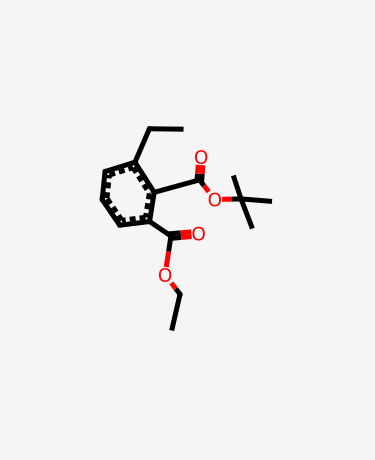 CCOC(=O)c1cccc(CC)c1C(=O)OC(C)(C)C